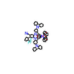 N#Cc1cc(-n2c3ccc(-n4c5ccccc5c5ccccc54)cc3c3cc(-n4c5ccccc5c5ccccc54)ccc32)c(-n2c3ccc(-n4c5ccccc5c5ccccc54)cc3c3cc(-n4c5ccccc5c5ccccc54)ccc32)cc1-c1ccccc1C(F)(F)F